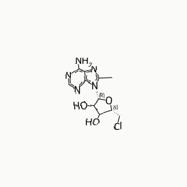 Cc1nc2c(N)ncnc2n1[C@@H]1O[C@H](CCl)C(O)C1O